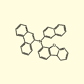 C1=CCC2C(=C1)Oc1c2cccc1N(c1ccc2ccccc2c1)c1cc2ccccc2c2ccccc12